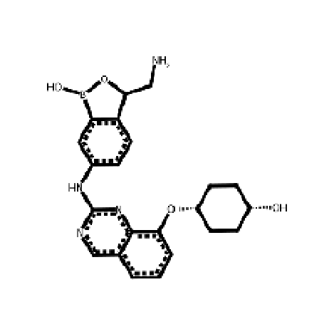 NCC1OB(O)c2cc(Nc3ncc4cccc(O[C@H]5CC[C@@H](O)CC5)c4n3)ccc21